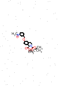 C=[N+]([O-])c1cccc(COc2ccc3c(c2)CCN(C(=O)OC(C)(C)C)[C@H]3C(=O)OC)c1